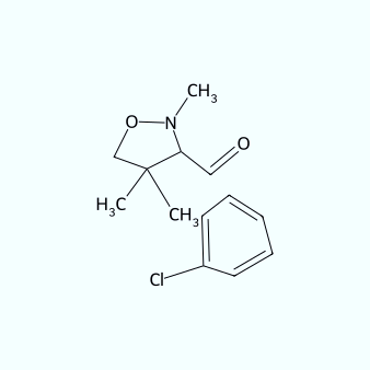 CN1OCC(C)(C)C1C=O.Clc1ccccc1